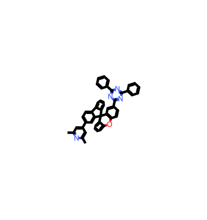 Cc1cc(-c2ccc3c(c2)C2(c4ccccc4Oc4ccc(-c5nc(-c6ccccc6)nc(-c6ccccc6)n5)cc42)c2ccccc2-3)cc(C)n1